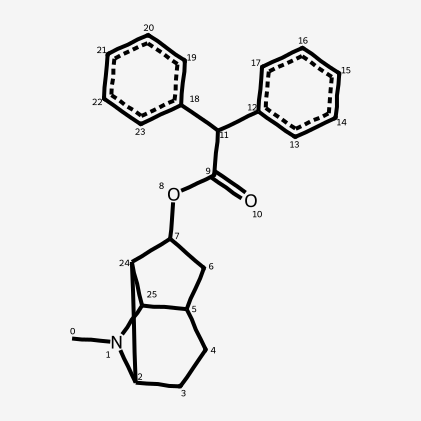 CN1C2CCC3CC(OC(=O)C(c4ccccc4)c4ccccc4)C2C31